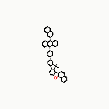 CC1(C)c2cc(-c3ccc(-c4c5ccccc5c(-c5ccc6ccccc6c5)c5ccccc45)cc3)ccc2-c2ccc3oc4c5ccccc5ccc4c3c21